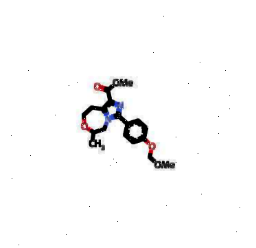 COCOc1ccc(-c2nc(C(=O)OC)c3n2CC(C)OCC3)cc1